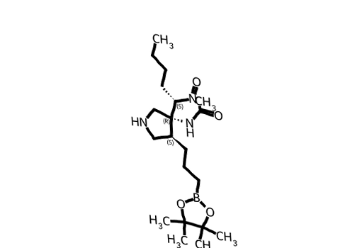 CCCC[C@H](N=O)[C@]1(NC(C)=O)CNC[C@@H]1CCCB1OC(C)(C)C(C)(C)O1